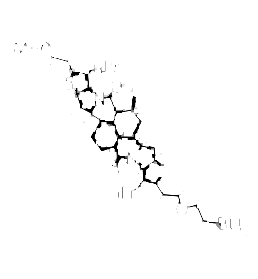 BCCOCCc1sc2cc3/c(=C/C)c4c5c(ccc4c(=O)n3c2c1CCC)-c1cc2sc(CCOC)c(CCC)c2n1C(=O)C5C=C